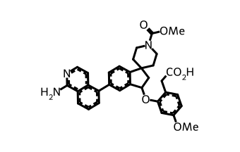 COC(=O)N1CCC2(CC1)CC(Oc1cc(OC)ccc1CC(=O)O)c1cc(-c3cccc4c(N)nccc34)ccc12